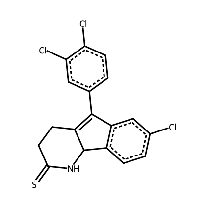 S=C1CCC2=C(c3ccc(Cl)c(Cl)c3)c3cc(Cl)ccc3C2N1